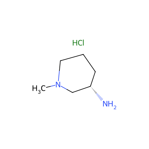 CN1CCC[C@H](N)C1.Cl